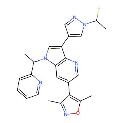 Cc1noc(C)c1-c1cnc2c(-c3cnn(C(C)F)c3)cn(C(C)c3ccccn3)c2c1